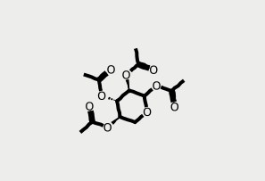 CC(=O)OC1OC[C@@H](OC(C)=O)[C@H](OC(C)=O)[C@H]1OC(C)=O